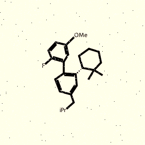 COc1ccc(F)c(-c2ccc(CC(C)C)cc2[C@@H]2CCCCC2(C)C)c1